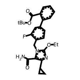 CCOc1nc(C2CC2)c(C(N)=O)n1Cc1ccc(-c2ccccc2C(=O)OC(C)(C)C)cc1F